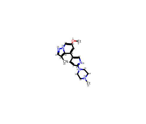 CCOc1cc(-c2ccc(N3CCN(CC)CC3)nc2)c2c(C#N)cnn2c1